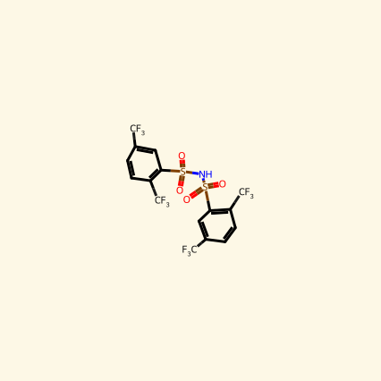 O=S(=O)(NS(=O)(=O)c1cc(C(F)(F)F)ccc1C(F)(F)F)c1cc(C(F)(F)F)ccc1C(F)(F)F